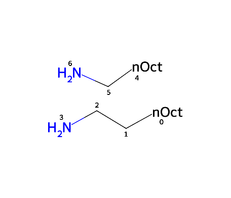 CCCCCCCCCCN.CCCCCCCCCN